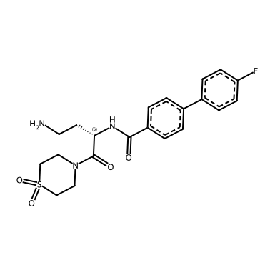 NCC[C@H](NC(=O)c1ccc(-c2ccc(F)cc2)cc1)C(=O)N1CCS(=O)(=O)CC1